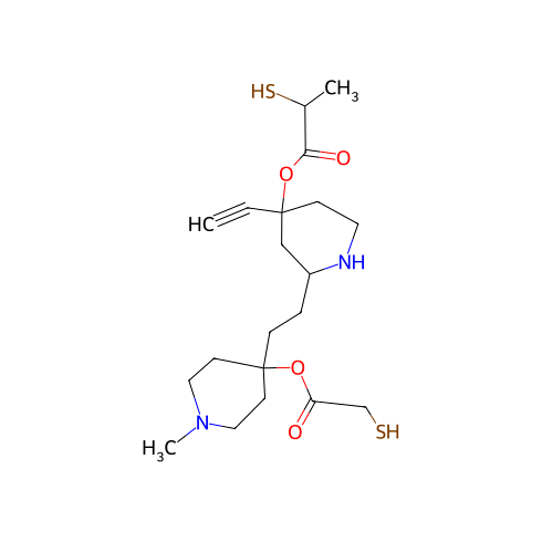 C#CC1(OC(=O)C(C)S)CCNC(CCC2(OC(=O)CS)CCN(C)CC2)C1